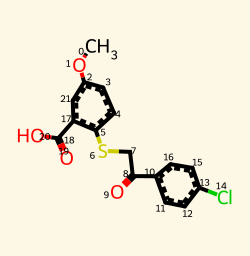 COc1ccc(SCC(=O)c2ccc(Cl)cc2)c(C(=O)O)c1